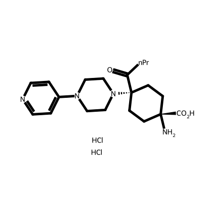 CCCC(=O)[C@]1(N2CCN(c3ccncc3)CC2)CC[C@](N)(C(=O)O)CC1.Cl.Cl